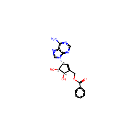 Nc1ncnc2c1ncn2[C@@H]1C=C(COC(=O)c2ccccc2)[C@@H](O)[C@H]1O